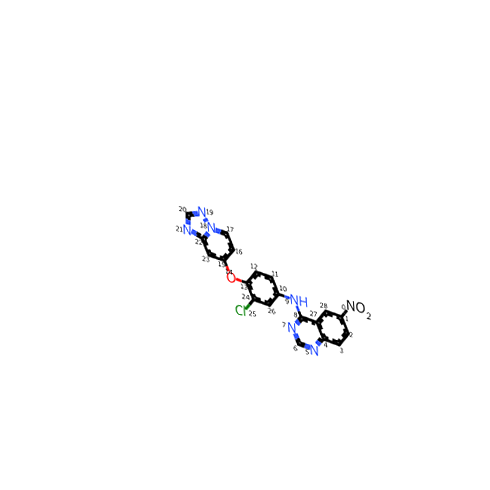 O=[N+]([O-])c1ccc2ncnc(Nc3ccc(Oc4ccn5ncnc5c4)c(Cl)c3)c2c1